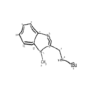 Cn1c(CNC(C)(C)C)nc2ccccc21